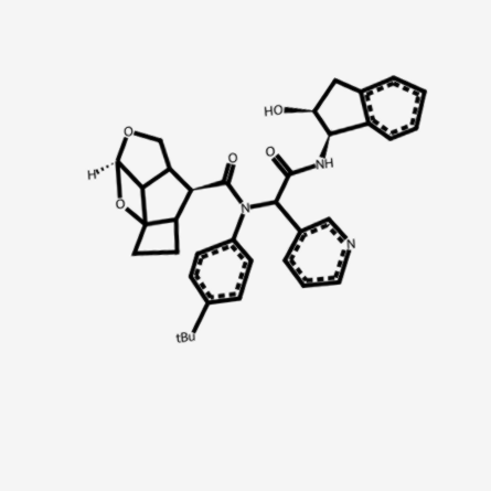 CC(C)(C)c1ccc(N(C(=O)[C@@H]2C3CO[C@@H]4OC5(CCC25)C34)C(C(=O)N[C@@H]2c3ccccc3C[C@@H]2O)c2cccnc2)cc1